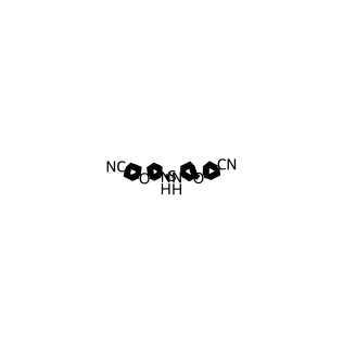 N#Cc1ccc(Oc2cccc(NSNc3cccc(Oc4ccc(C#N)cc4)c3)c2)cc1